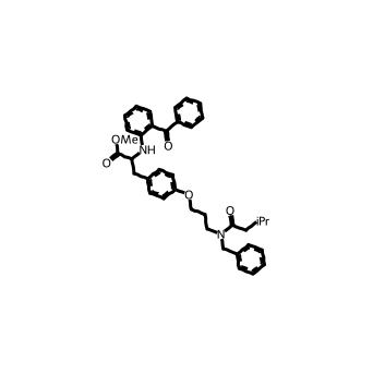 COC(=O)C(Cc1ccc(OCCCN(Cc2ccccc2)C(=O)CC(C)C)cc1)Nc1ccccc1C(=O)c1ccccc1